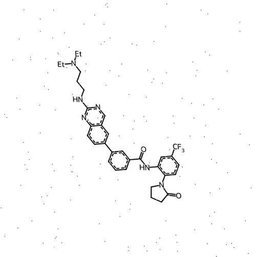 CCN(CC)CCCNc1ncc2cc(-c3cccc(C(=O)Nc4cc(C(F)(F)F)ccc4N4CCCC4=O)c3)ccc2n1